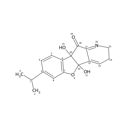 CC(C)c1ccc2c(c1)OC1(O)C3=CCCN=C3C(=O)C21O